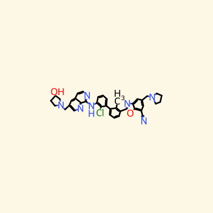 Cc1c(-c2nc3cc(CN4CCCC4)cc(C#N)c3o2)cccc1-c1cccc(Nc2nccc3cc(CN4CCC(O)C4)cnc23)c1Cl